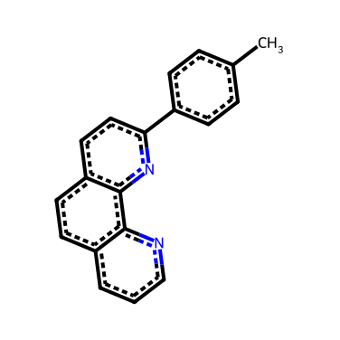 Cc1ccc(-c2ccc3ccc4cccnc4c3n2)cc1